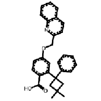 CC1(C)CC(c2ccccc2)(c2cc(OCc3ccc4ccccc4n3)ccc2C(=O)O)C1